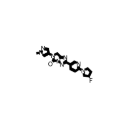 Cn1cc(N2Cc3nc(-c4ccc(N5CC[C@H](F)C5)nc4)nn3C2=O)cn1